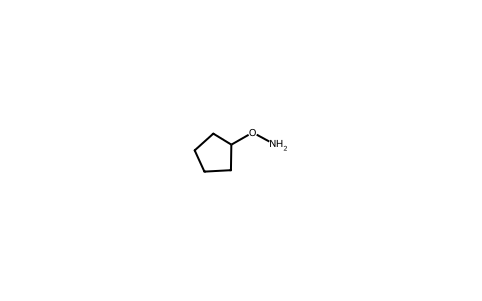 NOC1CCCC1